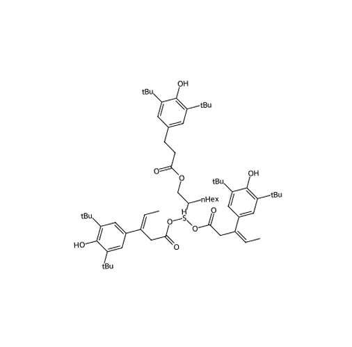 CC=C(CC(=O)O[SH](OC(=O)CC(=CC)c1cc(C(C)(C)C)c(O)c(C(C)(C)C)c1)C(CCCCCC)COC(=O)CCc1cc(C(C)(C)C)c(O)c(C(C)(C)C)c1)c1cc(C(C)(C)C)c(O)c(C(C)(C)C)c1